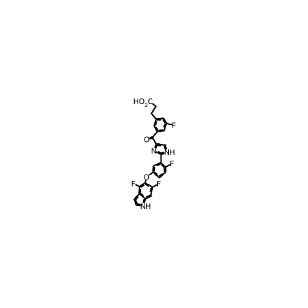 O=C(O)CCc1cc(F)cc(C(=O)c2c[nH]c(-c3cc(Oc4c(F)cc5[nH]ccc5c4F)ccc3F)n2)c1